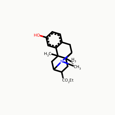 CCOC(=O)C1CC2(C)C3Cc4ccc(O)cc4C2(C)CC1N3C